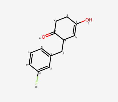 O=C1CCC(O)=CC1Cc1cccc(F)c1